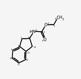 CCOC(=O)NC1Cc2ccccc2C1